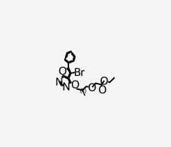 CCOC(=O)COC[C@@H](C)COc1ncnc2oc(-c3ccccc3)c(Br)c12